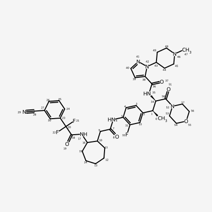 C[C@@H](c1ccc(NC(=O)CC2CCCCCC2NC(=O)C(F)(F)c2cccc(C#N)c2)c(F)c1)[C@@H](NC(=O)c1ccnn1C1CCN(C)CC1)C(=O)N1CCOCC1